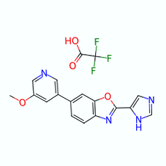 COc1cncc(-c2ccc3nc(-c4cnc[nH]4)oc3c2)c1.O=C(O)C(F)(F)F